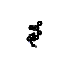 NC/C=C\C1=Cc2ccc(-c3cccc(C4=CC(c5ccccc5)NC(c5ccccc5)N4)c3)cc2C12c1ccccc1Oc1ccccc12